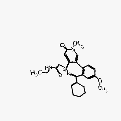 CCNC(=O)C[C@@H]1N=C(C2CCCCC2)c2cc(OC)ccc2-c2cn(C)c(=O)cc21